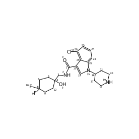 O=C(NCC1(O)CCC(F)(F)CC1)c1cn(C2CCNCC2)c2cccc(Cl)c12